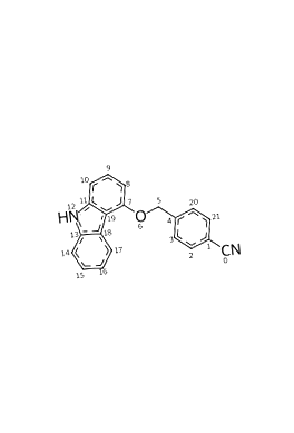 N#Cc1ccc(COc2cccc3[nH]c4ccccc4c23)cc1